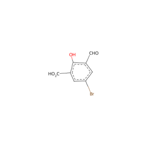 O=Cc1cc(Br)cc(C(=O)O)c1O